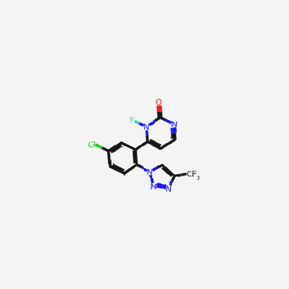 O=c1nccc(-c2cc(Cl)ccc2-n2cc(C(F)(F)F)nn2)n1F